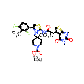 Cn1c(=O)c2c(CC(=O)/N=c3\scc(-c4ccc(F)c(C(F)(F)F)c4F)n3CC3(C(=O)O)CCN(C(=O)OC(C)(C)C)CC3)csc2n(C)c1=O